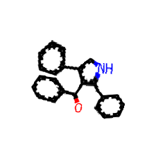 O=C(c1ccccc1)c1c(-c2ccccc2)c[nH]c1-c1ccccc1